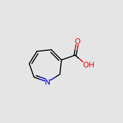 O=C(O)C1=CC=CC=NC1